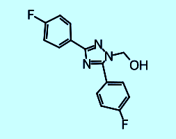 OCn1nc(-c2ccc(F)cc2)nc1-c1ccc(F)cc1